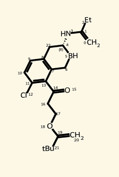 C=C(CC)N[C@@H]1BCc2c(ccc(Cl)c2C(=O)CCOC(=C)C(C)(C)C)C1